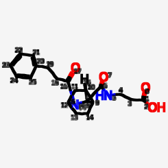 O=C(O)CCNC(=O)[C@@H]1C2CCC(CC2)N1C(=O)CCc1ccccc1